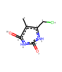 Cc1c(CCl)[nH]c(=O)[nH]c1=O